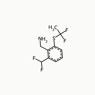 CC(F)(F)Sc1cccc(C(F)F)c1CN